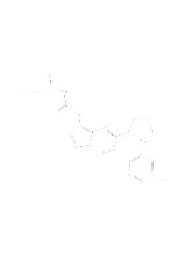 COCC(C)NC(=O)Oc1cnn2ccc(N3CCC[C@@H]3c3cncc(F)c3)nc12